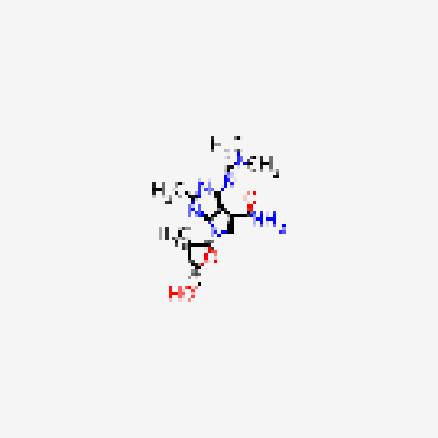 Cc1nc(/N=C/N(C)C)c2c(C(N)=O)cn([C@@H]3O[C@H](CO)C[C@H]3C)c2n1